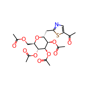 CC(=O)OC[C@H]1O[C@H](Cc2ncc(C(C)=O)s2)[C@@H](OC(C)=O)[C@@H](OC(C)=O)[C@@H]1OC(C)=O